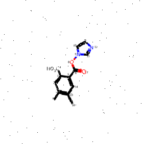 Cc1cc(C(=O)O)c(C(=O)On2ccnc2)cc1C